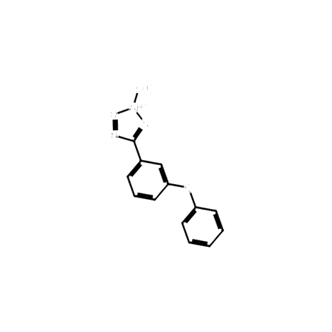 [CH2-][NH+]1N=NC(c2cccc(Oc3ccccc3)c2)=N1